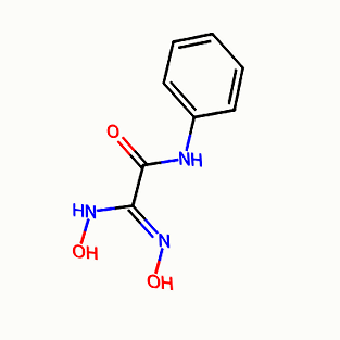 O=C(Nc1ccccc1)C(=NO)NO